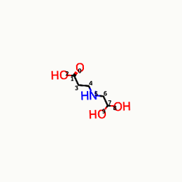 O=C(O)CCNCC(O)O